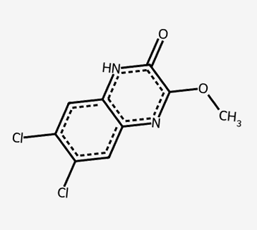 COc1nc2cc(Cl)c(Cl)cc2[nH]c1=O